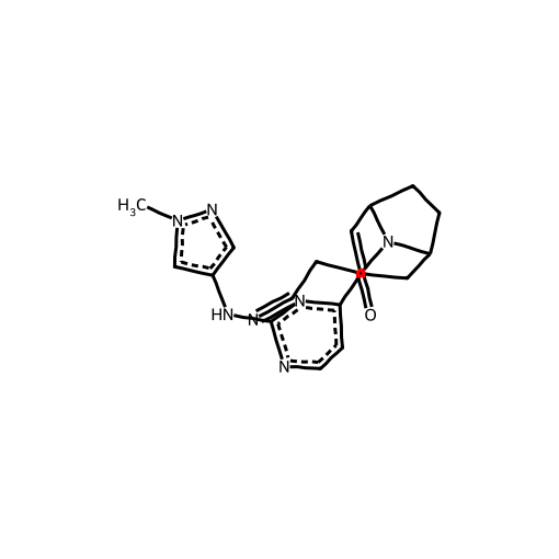 Cn1cc(Nc2nccc(C3=CC4CCC(C3)N4C(=O)CC#N)n2)cn1